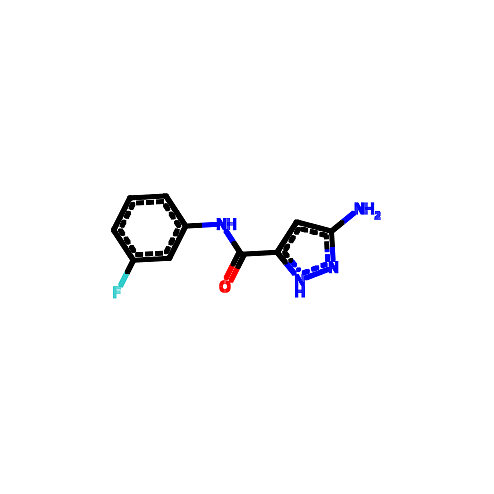 Nc1cc(C(=O)Nc2cccc(F)c2)[nH]n1